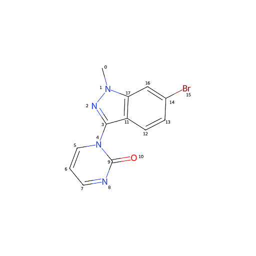 Cn1nc(-n2cccnc2=O)c2ccc(Br)cc21